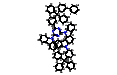 c1ccc(-c2cccc([Si](c3ccccc3)(c3ccccc3)c3cccc(-c4nc(-n5c6ccccc6c6ccccc65)nc(-n5c6ccccc6c6ccc7c(c8ccccc8n7-c7cccc([Si](c8ccccc8)(c8ccccc8)c8ccccc8)c7)c65)n4)c3)c2)cc1